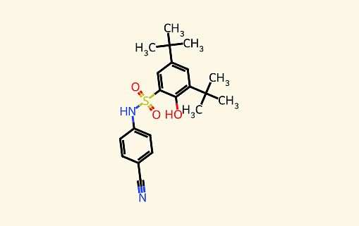 CC(C)(C)c1cc(C(C)(C)C)c(O)c(S(=O)(=O)Nc2ccc(C#N)cc2)c1